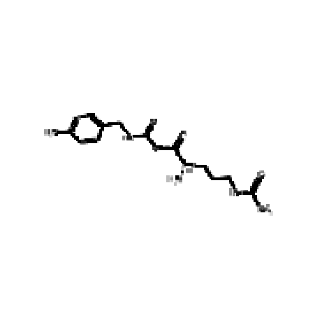 NC(=O)NCCC[C@H](N)C(=O)OC(=O)NCc1ccc(N)cc1